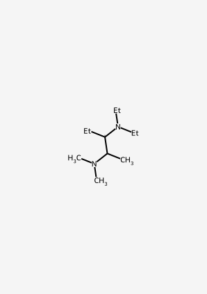 CC[C](C(C)N(C)C)N(CC)CC